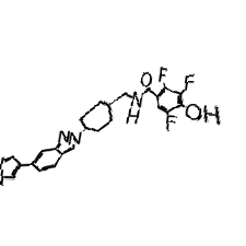 Cn1cc(-c2ccc3cn([C@H]4CC[C@H](CNC(=O)c5cc(F)c(O)c(F)c5F)CC4)nc3c2)cn1